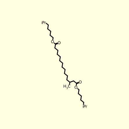 CC(C)CCCCCOC(=O)CCCCCCCCCCCC(C)CC(=O)OCCCCCC(C)C